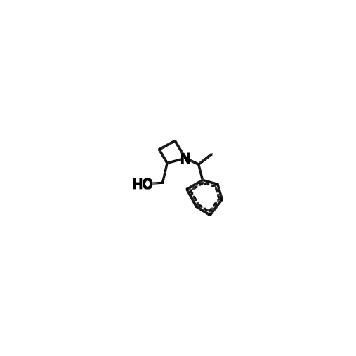 CC(c1ccccc1)N1CCC1CO